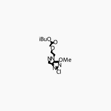 COc1nc(Cl)nc2cnn(CCOCC(=O)OCC(C)C)c12